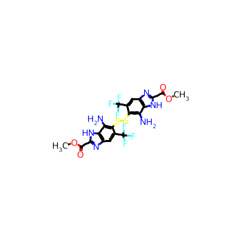 COC(=O)c1nc2cc(C(F)(F)F)c(SSc3c(C(F)(F)F)cc4nc(C(=O)OC)[nH]c4c3N)c(N)c2[nH]1